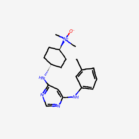 Cc1cccc(Nc2cc(N[C@H]3CC[C@H]([N+](C)(C)[O-])CC3)ncn2)c1